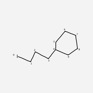 ICCCC1CCCCC1